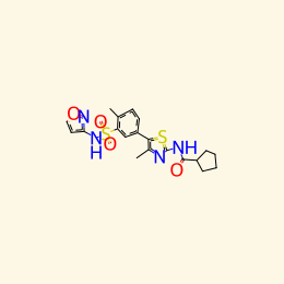 Cc1ccc(-c2sc(NC(=O)C3CCCC3)nc2C)cc1S(=O)(=O)Nc1ccon1